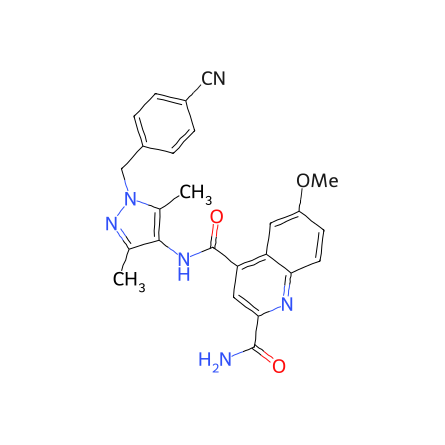 COc1ccc2nc(C(N)=O)cc(C(=O)Nc3c(C)nn(Cc4ccc(C#N)cc4)c3C)c2c1